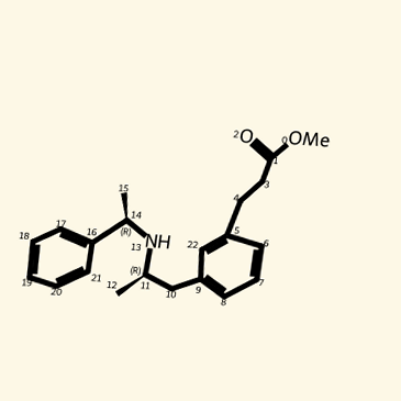 COC(=O)CCc1cccc(C[C@@H](C)N[C@H](C)c2ccccc2)c1